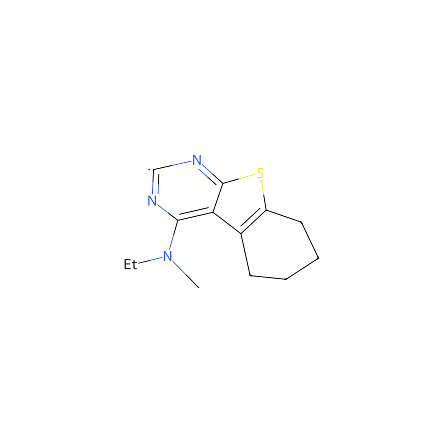 CCN(C)c1n[c]nc2sc3c(c12)CCCC3